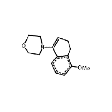 COc1cccc2c1CCC=C2N1CCOCC1